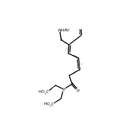 C=C/C(=C\C=C/CC(=O)N(CC(=O)O)CC(=O)O)CNC(C)=O